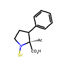 CC(=O)[C@@]1(C(=O)O)C(c2ccccc2)CCN1S